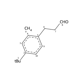 C.CC(C)(C)c1ccc(CCC=O)cc1